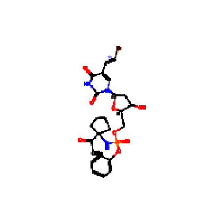 COC(=O)C1(NP(=O)(OC[C@H]2O[C@@H](n3cc(/C=C/Br)c(=O)[nH]c3=O)CC2O)Oc2ccccc2)CCCC1